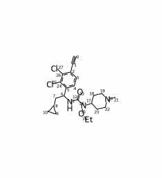 C#Cc1ccc(C(CC2CC2)NC(=O)N(OCC)C2CCN(C)CC2)c(Cl)c1Cl